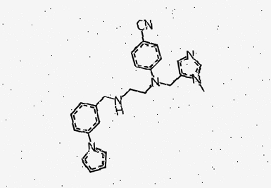 Cn1cncc1CN(CCNCc1cccc(-n2cccc2)c1)c1ccc(C#N)cc1